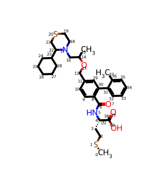 CSCC[C@H](NC(=O)c1ccc(COC(C)CN2CCSCC2C2CCCCC2)cc1-c1ccccc1C)C(=O)O